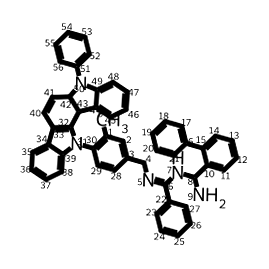 Cc1cc(C/N=C(\NC(N)c2ccccc2-c2ccccc2)c2ccccc2)ccc1-n1c2c(c3ccccc31)C=CC1C2c2ccccc2N1c1ccccc1